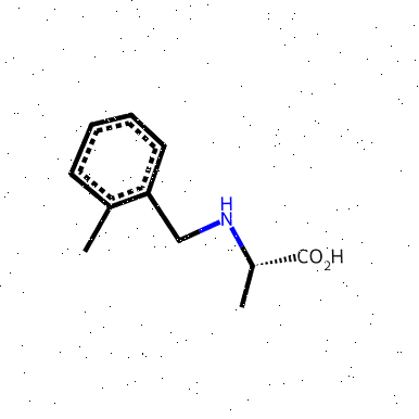 Cc1ccccc1CN[C@@H](C)C(=O)O